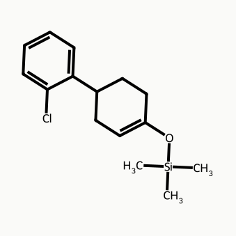 C[Si](C)(C)OC1=CCC(c2ccccc2Cl)CC1